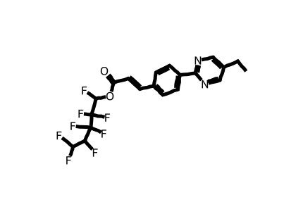 CCc1cnc(-c2ccc(C=CC(=O)OC(F)C(F)(F)C(F)(F)C(F)C(F)F)cc2)nc1